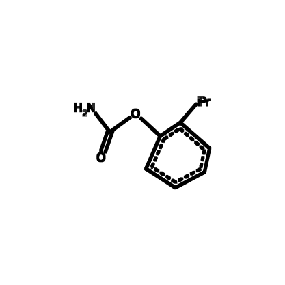 CC(C)c1ccccc1OC(N)=O